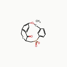 C.O=C1c2ccc3cc2CCC1CS(=O)(=O)c1cccc(c1)CO3